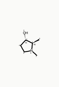 C[C@@H]1[C@@H](O)CCN1C